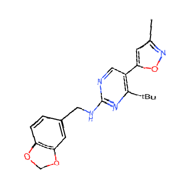 Cc1cc(-c2cnc(NCc3ccc4c(c3)OCO4)nc2C(C)(C)C)on1